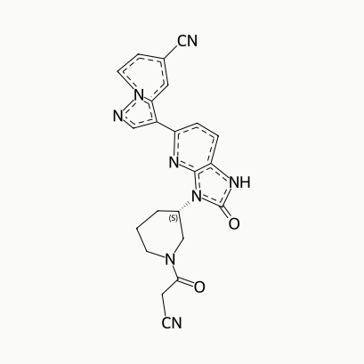 N#CCC(=O)N1CCC[C@H](n2c(=O)[nH]c3ccc(-c4cnn5ccc(C#N)cc45)nc32)C1